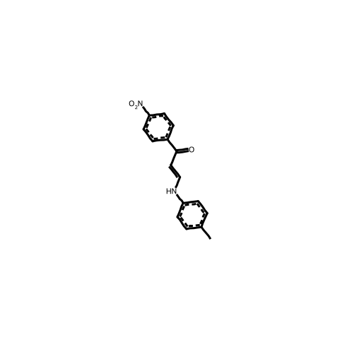 Cc1ccc(NC=CC(=O)c2ccc([N+](=O)[O-])cc2)cc1